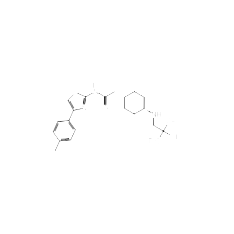 Cc1ccc(-c2csc(NC(=O)C[C@H]3CC[C@H](NCC(O)(C(F)(F)F)C(F)(F)F)CC3)n2)cc1